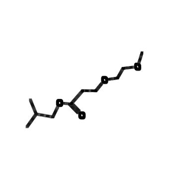 COCCOCCC(=O)OCC(C)C